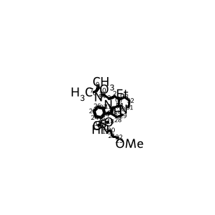 CC[C@@]12C=C(c3nc(C)c(C)o3)n3c4c(c5c(S(=O)(=O)NCCCOC)cccc53)CCN(CCC1)[C@H]42